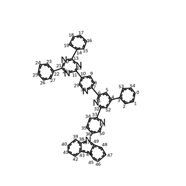 c1ccc(-c2cc(-c3ccc(-c4nc(-c5ccccc5)nc(-c5ccccc5)n4)cn3)nc(-c3ccc(-n4c5ccccc5c5ccccc54)cn3)c2)cc1